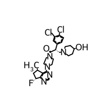 C[C@@H]1C[C@@H](F)c2ncnc(N3CCN(C(=O)[C@@H](CN4CCC(O)CC4)c4ccc(Cl)c(Cl)c4)CC3)c21